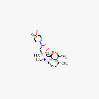 CC(=O)[C@H](NC(=O)[C@@H]([C@H](O)[C@H](C)CC(=O)N1CCS(=O)(=O)CC1)N(C)C)C(C)C